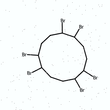 BrC1CCC(Br)C(Br)CCC(Br)C(Br)CCC1Br